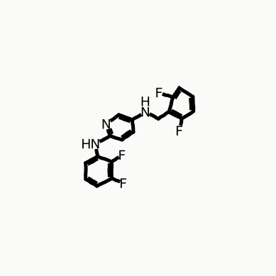 Fc1cccc(Nc2ccc(NCc3c(F)cccc3F)cn2)c1F